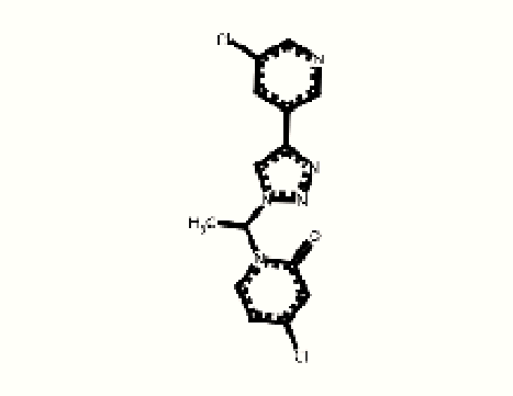 CC(n1cc(-c2cncc(Cl)c2)nn1)n1ccc(Cl)cc1=O